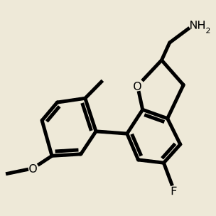 COc1ccc(C)c(-c2cc(F)cc3c2OC(CN)C3)c1